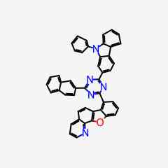 c1ccc(-n2c3ccccc3c3ccc(-c4nc(-c5ccc6ccccc6c5)nc(-c5cccc6oc7c(ccc8cccnc87)c56)n4)cc32)cc1